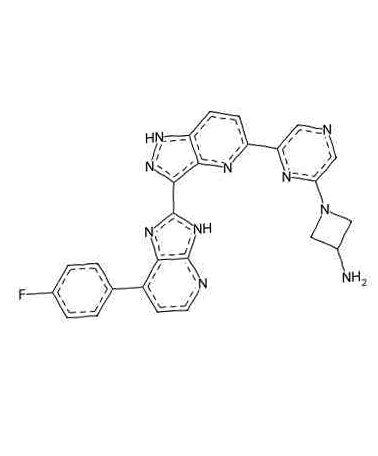 NC1CN(c2cncc(-c3ccc4[nH]nc(-c5nc6c(-c7ccc(F)cc7)ccnc6[nH]5)c4n3)n2)C1